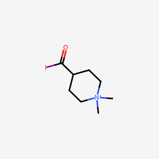 C[N+]1(C)CCC(C(=O)I)CC1